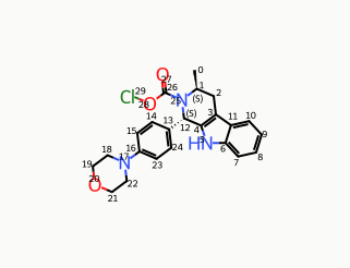 C[C@H]1Cc2c([nH]c3ccccc23)[C@H](c2ccc(N3CCOCC3)cc2)N1C(=O)OCl